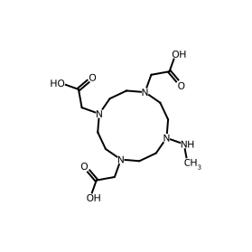 CNN1CCN(CC(=O)O)CCN(CC(=O)O)CCN(CC(=O)O)CC1